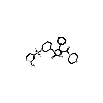 C/C=C\C(=C/CC)S(=O)(=O)N1CCCC(n2c(-c3ccccc3)c(C(=O)N3CCNCC3)[nH]c2=O)C1